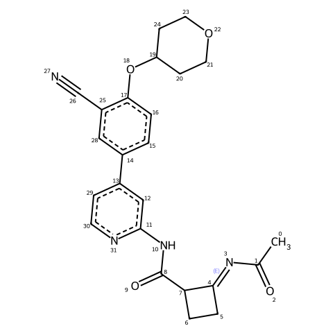 CC(=O)/N=C1\CCC1C(=O)Nc1cc(-c2ccc(OC3CCOCC3)c(C#N)c2)ccn1